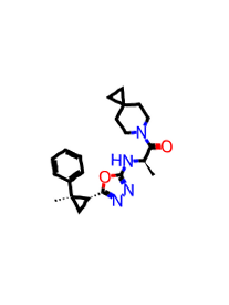 C[C@@H](Nc1nnc([C@@H]2C[C@@]2(C)c2ccccc2)o1)C(=O)N1CCC2(CC1)CC2